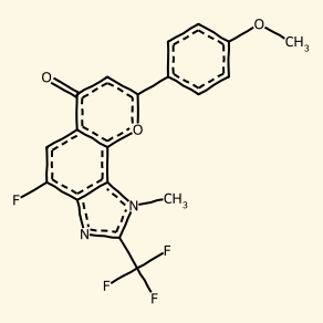 COc1ccc(-c2cc(=O)c3cc(F)c4nc(C(F)(F)F)n(C)c4c3o2)cc1